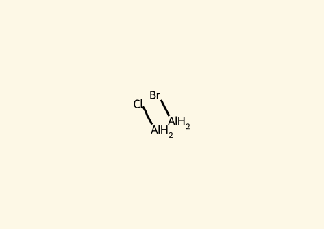 [AlH2][Br].[AlH2][Cl]